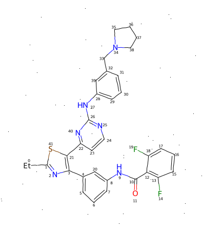 CCc1nc(-c2cccc(NC(=O)c3c(F)cccc3F)c2)c(-c2ccnc(Nc3cccc(CN4CCCC4)c3)n2)s1